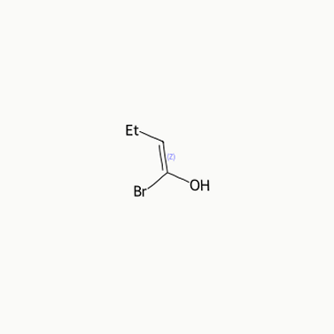 CC/C=C(/O)Br